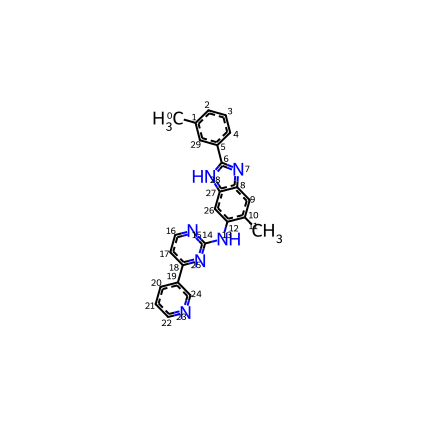 Cc1cccc(-c2nc3cc(C)c(Nc4nccc(-c5cccnc5)n4)cc3[nH]2)c1